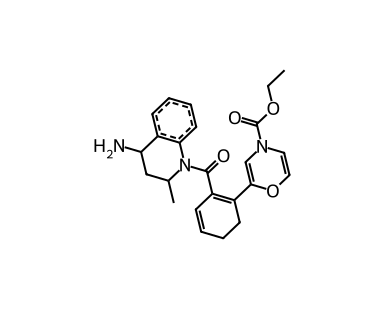 CCOC(=O)N1C=COC(C2=C(C(=O)N3c4ccccc4C(N)CC3C)C=CCC2)=C1